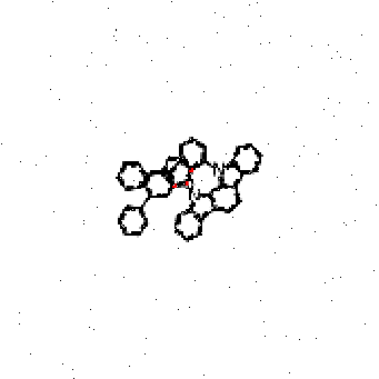 c1ccc(-c2cccc(-n3c4ccccc4c4ccc5c6ccccc6n(-c6cccc7c6oc6cc(-c8ccccc8)ccc67)c5c43)c2)cc1